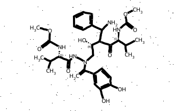 C=C(c1ccc(O)c(O)c1)N(C[C@H](O)C(C(=O)[C@@H](NC(=O)OC)C(C)C)C(N)c1ccccc1)NC(=O)[C@@H](NC(=O)OC)C(C)C